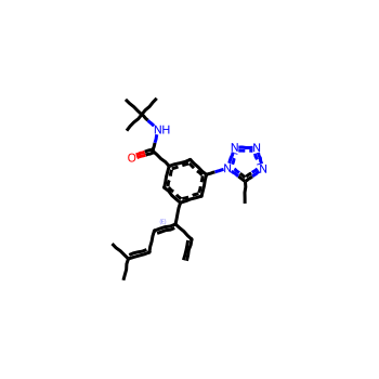 C=C/C(=C\C=C(C)C)c1cc(C(=O)NC(C)(C)C)cc(-n2nnnc2C)c1